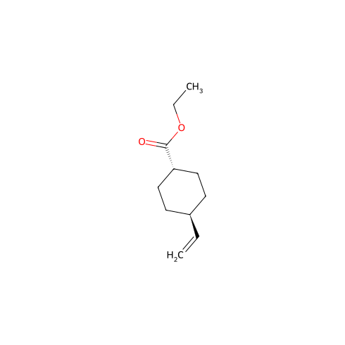 C=C[C@H]1CC[C@H](C(=O)OCC)CC1